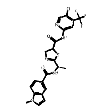 C[C@@H](NC(=O)c1ccc2c(ccn2C)c1)C1=NCC(C(=O)Nc2cc(C(F)(F)F)c(Cl)cn2)S1